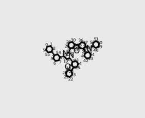 c1ccc(-c2cccc(-c3cc(-c4cccc5c4oc4ccccc45)nc(-c4cccc5c4oc4c5ccc5c4c4ccccc4n5-c4ccccc4)n3)c2)cc1